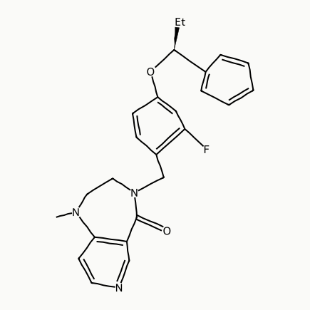 [CH2]C[C@H](Oc1ccc(CN2CCN(C)c3ccncc3C2=O)c(F)c1)c1ccccc1